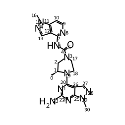 C[C@H]1CN(C(=O)Nc2nccc3c2cnn3C)CCN1c1nc(N)nc2c1cnn2C